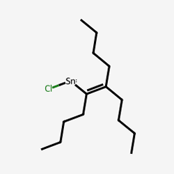 CCCCC(CCCC)=[C](CCCC)[Sn][Cl]